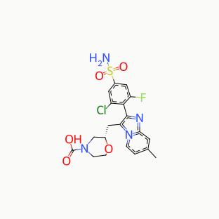 Cc1ccn2c(C[C@H]3CN(C(=O)O)CCO3)c(-c3c(F)cc(S(N)(=O)=O)cc3Cl)nc2c1